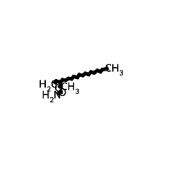 C=CC(CCCCCCCCCCCCCCCCC)C(C)OC(N)=O